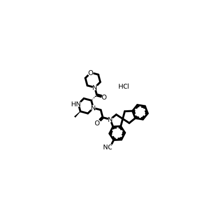 C[C@@H]1CN(CC(=O)N2CC3(Cc4ccccc4C3)c3ccc(C#N)cc32)[C@@H](C(=O)N2CCOCC2)CN1.Cl